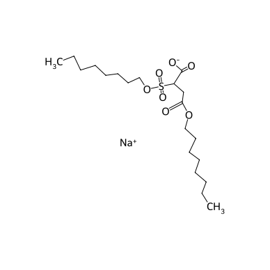 CCCCCCCCOC(=O)CC(C(=O)[O-])S(=O)(=O)OCCCCCCCC.[Na+]